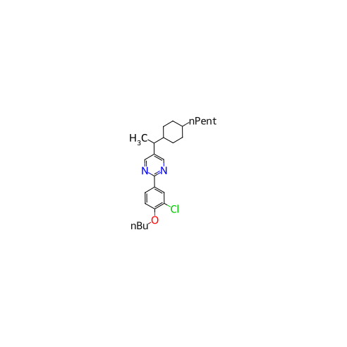 CCCCCC1CCC(C(C)c2cnc(-c3ccc(OCCCC)c(Cl)c3)nc2)CC1